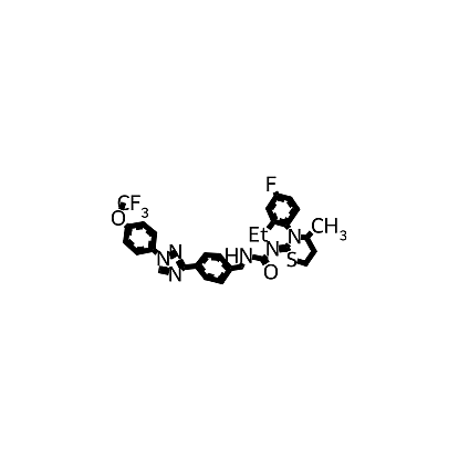 CCc1cc(F)ccc1N1/C(=N/C(=O)NCc2ccc(-c3ncn(-c4ccc(OC(F)(F)F)cc4)n3)cc2)SCCC1C